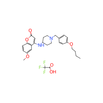 CCCCOc1ccc(CN2CCC(Nc3cc(=O)oc4ccc(OC)cc34)CC2)cc1.O=C(O)C(F)(F)F